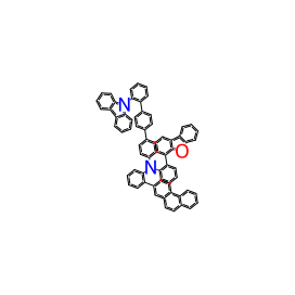 c1ccc(N(c2ccc(-c3ccc(-c4ccccc4-n4c5ccccc5c5ccccc54)cc3)cc2)c2ccccc2-c2cccc3c2oc2ccccc23)c(-c2ccc3c(ccc4ccccc43)c2)c1